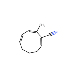 CC1=C/C=C\CCC/C=C\1C#N